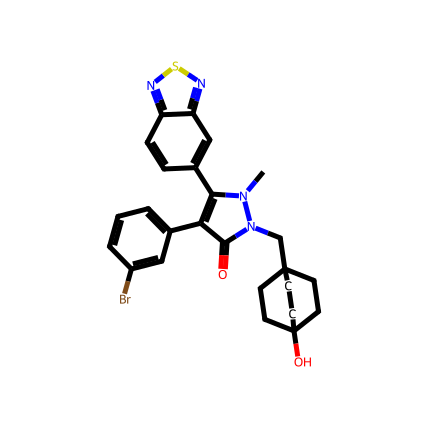 Cn1c(-c2ccc3nsnc3c2)c(-c2cccc(Br)c2)c(=O)n1CC12CCC(O)(CC1)CC2